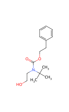 CC(C)(C)N(CCO)C(=O)OCCc1ccccc1